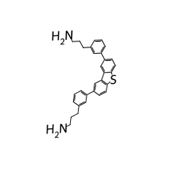 NCCCc1cccc(-c2ccc3sc4ccc(-c5cccc(CCCN)c5)cc4c3c2)c1